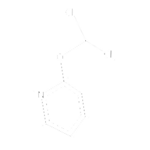 ClC(Cl)Oc1cc[c]cn1